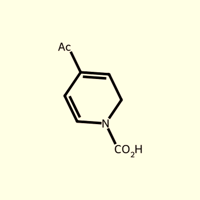 CC(=O)C1=CCN(C(=O)O)C=C1